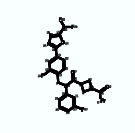 CC(C)C(=O)N1CC(C(=O)N(Cc2ccc(-c3nnc(C(F)F)o3)cc2F)c2cccc(F)c2)C1